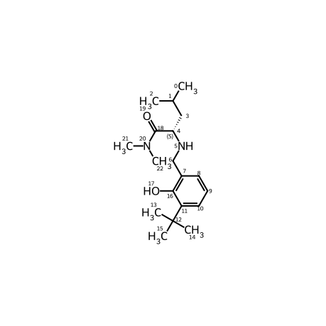 CC(C)C[C@H](NCc1cccc(C(C)(C)C)c1O)C(=O)N(C)C